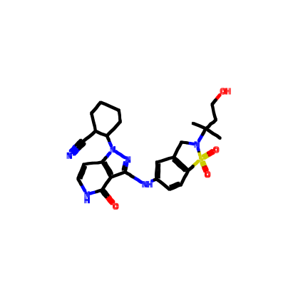 CC(C)(CCO)N1Cc2cc(Nc3nn(C4CCCCC4C#N)c4cc[nH]c(=O)c34)ccc2S1(=O)=O